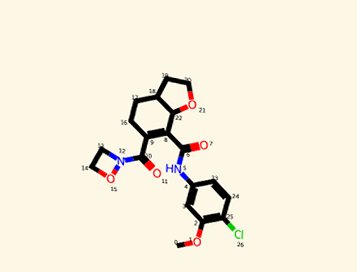 COc1cc(NC(=O)C2=C(C(=O)N3CCO3)CCC3CCOC23)ccc1Cl